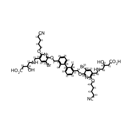 Cc1c(COc2nc(OCCCCC#N)c(CNCC(O)CC(=O)O)cc2Br)cccc1-c1cccc(COc2nc(OCCCCC#N)c(CNCC(O)CC(=O)O)cc2Br)c1C